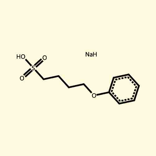 O=S(=O)(O)CCCCOc1ccccc1.[NaH]